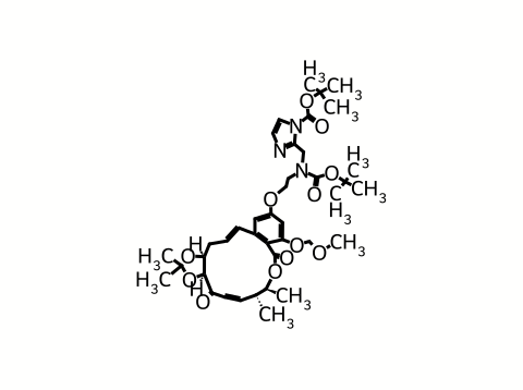 COCOc1cc(OCCN(Cc2nccn2C(=O)OC(C)(C)C)C(=O)OC(C)(C)C)cc2c1C(=O)O[C@@H](C)[C@H](C)/C=C\C(=O)[C@H]1OC(C)(C)O[C@H]1C/C=C/2